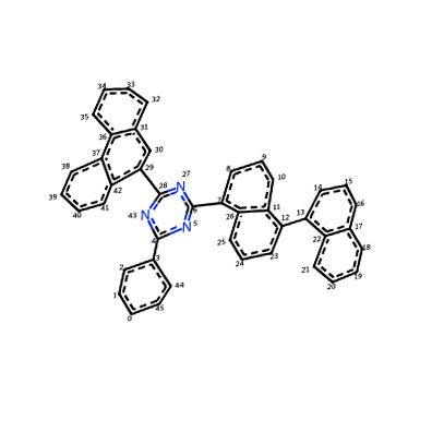 c1ccc(-c2nc(-c3cccc4c(-c5cccc6ccccc56)cccc34)nc(-c3cc4ccccc4c4ccccc34)n2)cc1